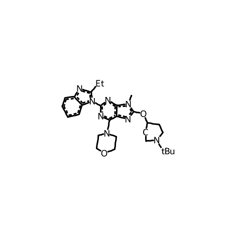 CCc1nc2ccccc2n1-c1nc(N2CCOCC2)c2nc(OC3CCN(C(C)(C)C)CC3)n(C)c2n1